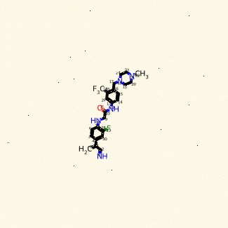 C=C(C=N)c1ccc(NCC(=O)Nc2ccc(CN3CCN(C)CC3)c(C(F)(F)F)c2)c(F)c1